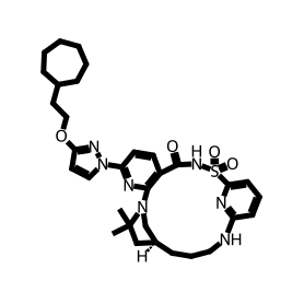 CC1(C)C[C@@H]2CCCNc3cccc(n3)S(=O)(=O)NC(=O)c3ccc(-n4ccc(OCCC5CCCCCC5)n4)nc3N1C2